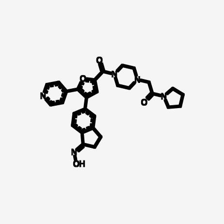 O=C(CN1CCN(C(=O)c2cc(-c3ccc4c(c3)CC/C4=N\O)c(-c3ccncc3)o2)CC1)N1CCCC1